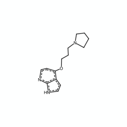 c1cc(OCCCN2CCCC2)c2cc[nH]c2n1